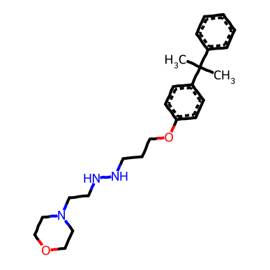 CC(C)(c1ccccc1)c1ccc(OCCCNNCCN2CCOCC2)cc1